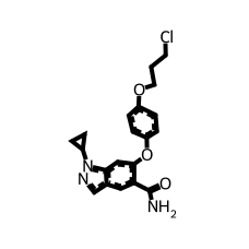 NC(=O)c1cc2cnn(C3CC3)c2cc1Oc1ccc(OCCCCl)cc1